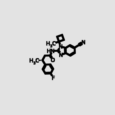 C[C@H](CC(=O)Nc1nc2ccc(C#N)cc2n1C1(C)CCC1)c1ccc(F)cc1